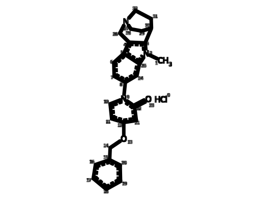 Cl.Cn1c2c(c3ccc(-n4ccc(OCc5ccccc5)cc4=O)cc31)CN1CCC2CC1